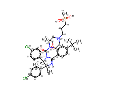 CCOc1cc(C(C)(C)C)ccc1C1=N[C@](C)(c2ccc(Cl)cc2)[C@](C)(c2ccc(Cl)cc2)N1C(=O)N1CCN(CCCS(C)(=O)=O)CC1